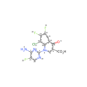 Nc1nc(-n2cc(C(=O)O)c(=O)c3cc(F)c(F)c(Cl)c32)ncc1F